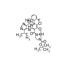 CC(C)c1ncnc2c1Nc1c3c(c(Cl)c(-c4c(O)cccc4F)[n+]1C2C)OC[C@H]1CN(C(=O)OC(C)(C)C)CCN1C3=O